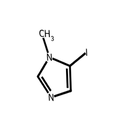 Cn1cncc1I